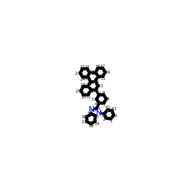 c1ccc(-n2c(-c3cccc(-c4cc5c6ccccc6c6ccccc6c5c5ccccc45)c3)nc3ccccc32)cc1